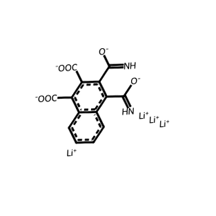 N=C([O-])c1c(C(=O)[O-])c(C(=O)[O-])c2ccccc2c1C(=N)[O-].[Li+].[Li+].[Li+].[Li+]